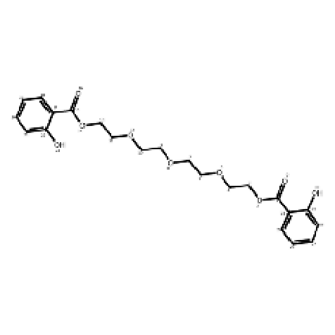 O=C(OCCOCCOCCOCCOC(=O)c1ccccc1O)c1ccccc1O